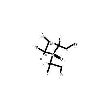 CC(C)CC(F)(F)P(=O)(C(F)(F)CC(C)C)C(F)(F)CC(C)C